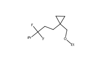 CCOCC1(CCC(F)(F)C(C)C)CC1